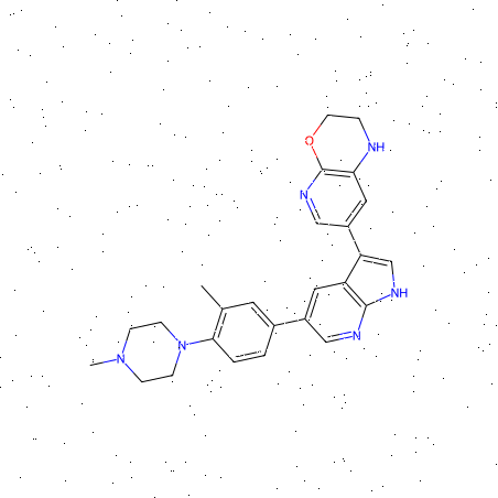 Cc1cc(-c2cnc3[nH]cc(-c4cnc5c(c4)NCCO5)c3c2)ccc1N1CCN(C)CC1